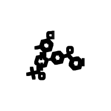 Cc1cc(Cl)ccc1N1CCN(C(=O)C(C)(C)C)C[C@H]1c1ccc(C(=O)c2cccnc2)cc1